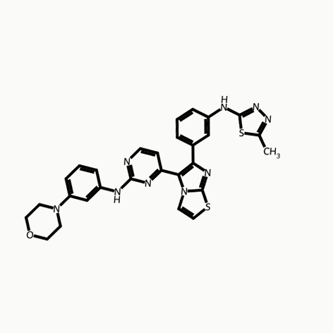 Cc1nnc(Nc2cccc(-c3nc4sccn4c3-c3ccnc(Nc4cccc(N5CCOCC5)c4)n3)c2)s1